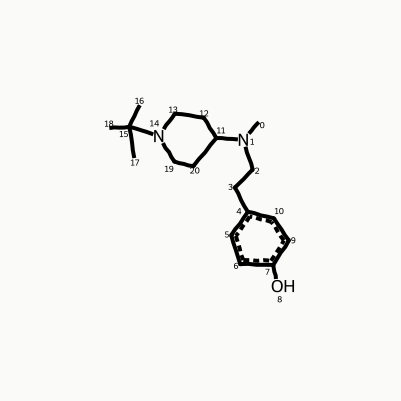 CN(CCc1ccc(O)cc1)C1CCN(C(C)(C)C)CC1